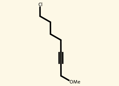 COCC#CCCCCCl